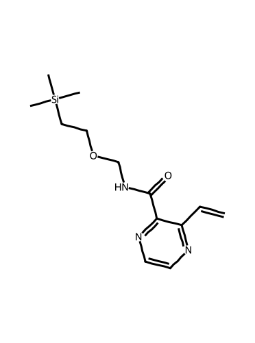 C=Cc1nccnc1C(=O)NCOCC[Si](C)(C)C